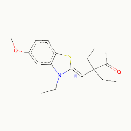 CCN1/C(=C/C(CC)(CC)C(C)=O)Sc2ccc(OC)cc21